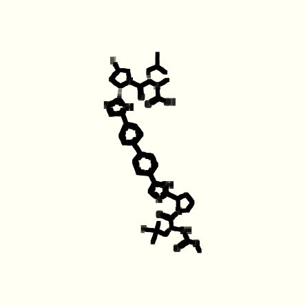 COC(=O)N[C@@H](CC(C)(C)F)C(=O)N1CCCC1c1ncc(-c2ccc(-c3ccc(-c4cnc([C@@H]5C[C@@H](F)CN5C(=O)[C@H](CC(C)C)N(C)C(=O)O)[nH]4)cc3)cc2)[nH]1